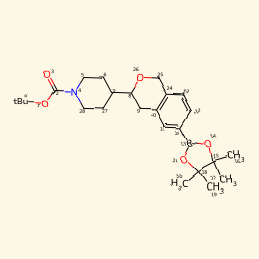 CC(C)(C)OC(=O)N1CCC(C2Cc3cc(B4OC(C)(C)C(C)(C)O4)ccc3CO2)CC1